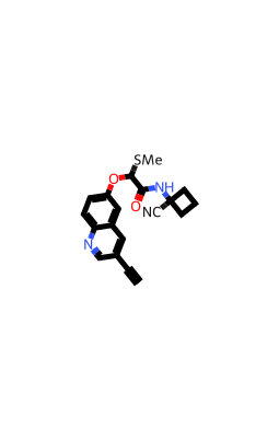 C#Cc1cnc2ccc(OC(SC)C(=O)NC3(C#N)CCC3)cc2c1